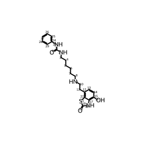 O=C(NCCCCCCNCCc1ccc(O)c2[nH]c(=O)sc12)Nc1ccccc1